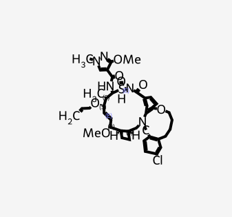 C=CCO[C@H]1/C=C/[C@H](OC)[C@@H]2CC[C@H]2CN2Cc3ccc(Cl)cc3CCCCOc3ccc(cc32)C(=O)/N=[SH](=O)\C(NC(=O)c2cn(C)nc2OC)[C@H]1C